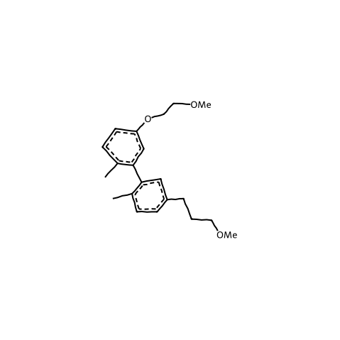 COCCCc1ccc(C)c(-c2cc(OCCOC)ccc2C)c1